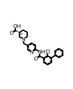 O=C(Nc1ccc(CN2CCC[C@H](C(=O)O)C2)cn1)c1cccc(-c2ccccc2)c1Cl